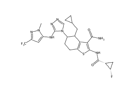 Cn1nc(C(F)(F)F)cc1Nc1nncn1C1CCc2sc(NC(=O)[C@@H]3C[C@@H]3F)c(C(N)=O)c2C1CC1CC1